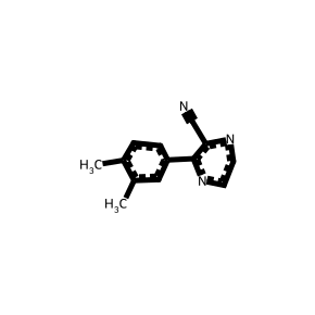 Cc1ccc(-c2nccnc2C#N)cc1C